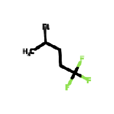 CCC(C)CCC(F)(F)F